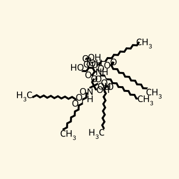 CCCCCCCCCCCCCC(=O)O[C@H](CCCCCCCCCCC)CC(=O)NCC(CO)(CO)CO[C@@H]1OC(CO)[C@@H](OP(=O)(O)O)[C@H](OC(=O)C[C@@H](CCCCCCCCCCC)OC(=O)CCCCCCCCCCCCC)C1NC(=O)C[C@@H](CCCCCCCCCCC)OC(=O)CCCCCCCCCCCCC